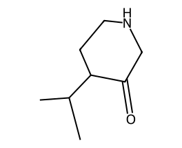 CC(C)C1CCNCC1=O